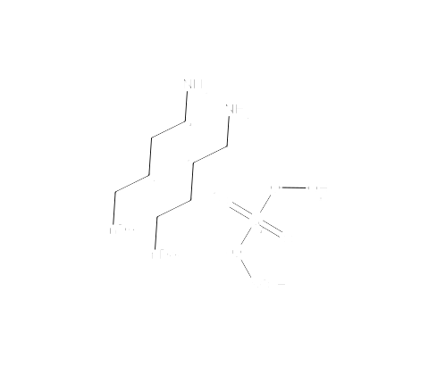 CCCCCCCCCCCCCCN.CCCCCCCCCCCCCCN.O=S(=O)(O)OS(=O)(=O)OO